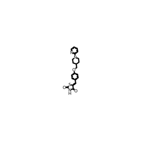 O=C1NC(=O)C(=Cc2ccc(OCC3CCN(c4ccccn4)CC3)cc2)S1